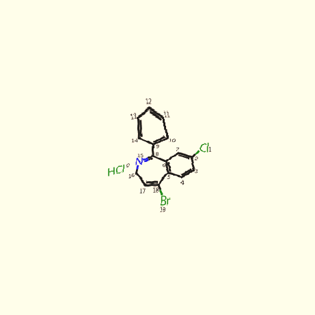 Cl.Clc1ccc2c(c1)C(c1ccccc1)=NCC=C2Br